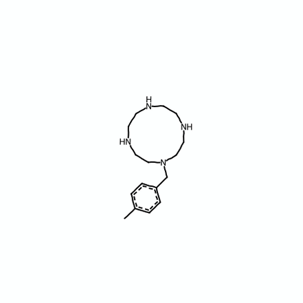 Cc1ccc(CN2CCNCCNCCNCC2)cc1